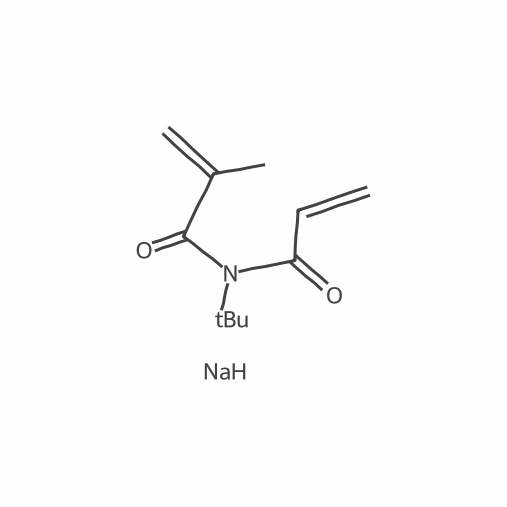 C=CC(=O)N(C(=O)C(=C)C)C(C)(C)C.[NaH]